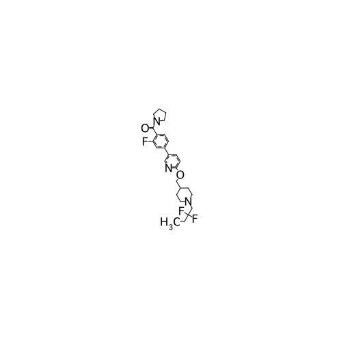 CCC(F)(F)CN1CCC(COc2ccc(-c3ccc(C(=O)N4CCCC4)c(F)c3)cn2)CC1